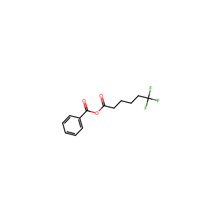 O=C(CCCCC(F)(F)F)OC(=O)c1ccccc1